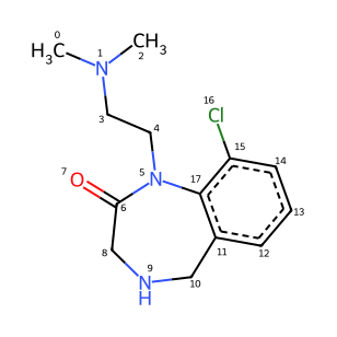 CN(C)CCN1C(=O)CNCc2cccc(Cl)c21